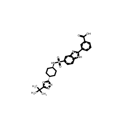 CC(C)(C)c1nnc([C@H]2CC[C@H](NS(=O)(=O)c3ccc4[nH]c(-c5cccc(C(=O)O)c5)nc4c3)CC2)o1